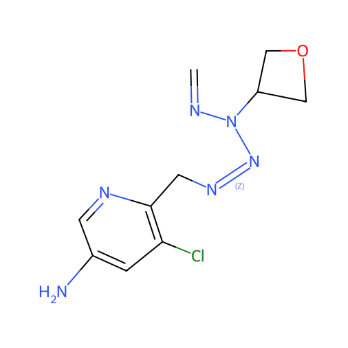 C=NN(/N=N\Cc1ncc(N)cc1Cl)C1COC1